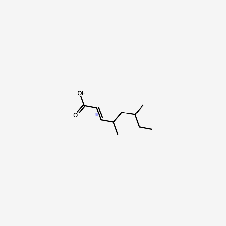 CCC(C)CC(C)/C=C/C(=O)O